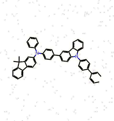 C/C=C\C(=C/C)c1ccc(-n2c3ccccc3c3cc(-c4ccc(N(c5ccccc5)c5ccc6c(c5)C(C)(C)c5ccccc5-6)cc4)ccc32)cc1